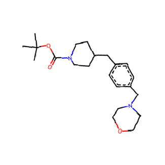 CC(C)(C)OC(=O)N1CCC(Cc2ccc(CN3CCOCC3)cc2)CC1